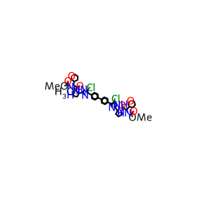 COC(=O)NC(C(=O)N1CCCC1c1nc(-c2ccc(-c3ccc(-c4nc(C5CC[C@@H](C)N5C(=O)C(NC(=O)OC)C5CCCOC5)[nH]c4Cl)cc3)cc2)c(Cl)[nH]1)C1CCCOC1